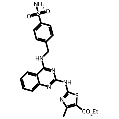 CCOC(=O)c1sc(Nc2nc(NCc3ccc(S(N)(=O)=O)cc3)c3ccccc3n2)nc1C